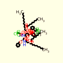 CCCCCCCCCCC[C@H](CC(=O)N[C@@H](COCc1ccccc1)CO[C@@H]1O[C@H](COC(=O)OC(C)(C)C(Cl)(Cl)Cl)[C@@H](OP(=O)(Oc2ccccc2)Oc2ccccc2)[C@H](OC(=O)C[C@@H](CCCCCCCCCCC)OC(=O)CCCCCCCCC)[C@H]1NC(=O)OCC(Cl)(Cl)Cl)OC(=O)CCCCCCCCC